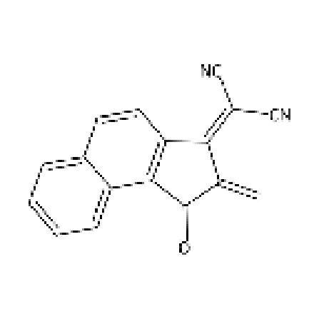 C=C1C(=O)c2c(ccc3ccccc23)C1=C(C#N)C#N